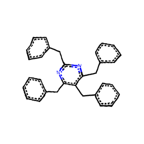 c1ccc(Cc2nc(Cc3ccccc3)c(Cc3ccccc3)c(Cc3ccccc3)n2)cc1